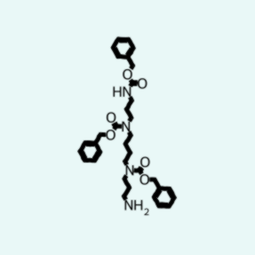 NCCCN(CCCCN(CCCNC(=O)OCc1ccccc1)C(=O)OCc1ccccc1)C(=O)OCc1ccccc1